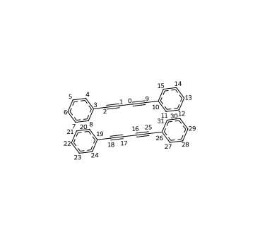 C(C#Cc1ccccc1)#Cc1ccccc1.C(C#Cc1ccccc1)#Cc1ccccc1